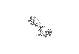 Nc1nc2c(ncn2C2CC(O)[C@@H](COP(=O)(O)OC[C@H]3O[C@@H](n4cnc5c(=O)[nH]c(N)nc54)CC3O)O2)c(=O)[nH]1